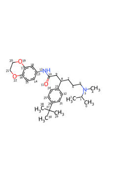 CC(C)N(C)CCCC(CC(=O)Nc1ccc2c(c1)OCCO2)c1ccc(C(C)(C)C)cc1